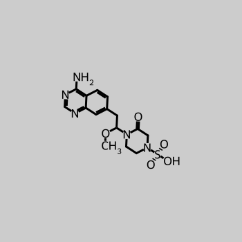 COC(Cc1ccc2c(N)ncnc2c1)N1CCN(S(=O)(=O)O)CC1=O